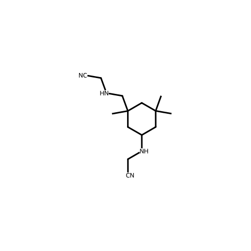 CC1(C)CC(NCC#N)CC(C)(CNCC#N)C1